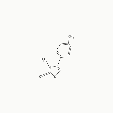 Cc1ccc(-c2csc(=O)n2C)cc1